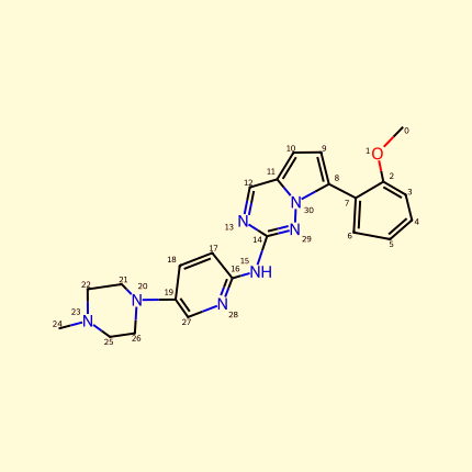 COc1ccccc1-c1ccc2cnc(Nc3ccc(N4CCN(C)CC4)cn3)nn12